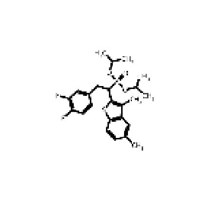 Cc1ccc2sc(C(Cc3ccc(F)c(F)c3)P(=O)(OC(C)C)OC(C)C)c(C)c2c1